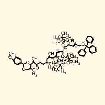 COc1ccc(C2OC[C@H](C)[C@@H]([C@@H](C)C(=O)CC[C@H](C)C[C@@H](C)[C@@H](O[Si](C)(C)C(C)(C)C)[C@@H](C)/C=C\[C@H](C[C@H](O[Si](C)(C)C(C)(C)C)[C@@H](C)/C=C/COC(c3ccccc3)(c3ccccc3)c3ccccc3)O[Si](C)(C)C(C)(C)C)O2)cc1